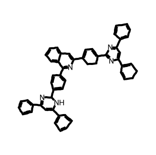 C1=CC(c2cc(-c3ccccc3)nc(C3=CC=C(c4cc5ccccc5c(-c5ccc(C6N=C(c7ccccc7)C=C(c7ccccc7)N6)cc5)n4)CC3)n2)=CCC1